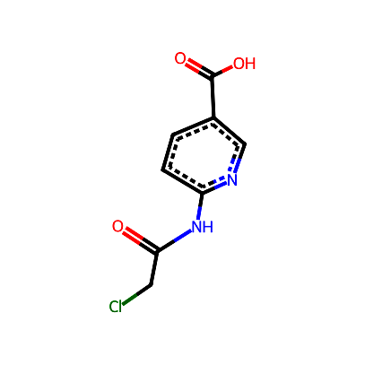 O=C(CCl)Nc1ccc(C(=O)O)cn1